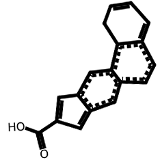 O=C(O)C1=Cc2cc3c4c(ccc3cc2=C1)=CC=CC4